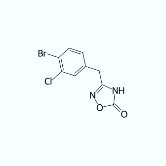 O=c1[nH]c(Cc2ccc(Br)c(Cl)c2)no1